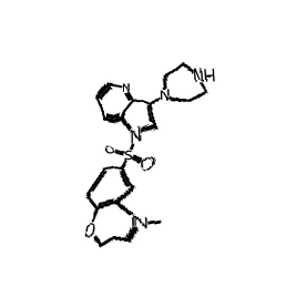 CN1CCOc2ccc(S(=O)(=O)n3cc(N4CCNCC4)c4ncccc43)cc21